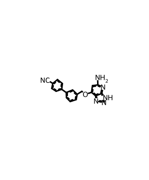 N#Cc1ccc(-c2cccc(COc3cc(N)nc4[nH]nnc34)c2)cc1